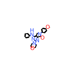 COc1ccc(N2Cc3c(Nc4ccccc4)nc(N4CCOCC4)nc3C2=O)cc1